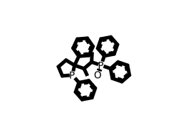 CC(C(C)P(=O)(c1ccccc1)c1ccccc1)C1(c2ccccc2)CCCP1c1ccccc1